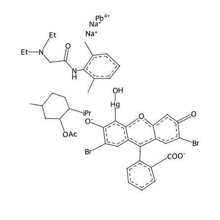 CC(=O)OC1CC(C)CCC1C(C)C.CCN(CC)CC(=O)Nc1c(C)cccc1C.O=C([O-])c1ccccc1-c1c2cc(Br)c(=O)cc-2oc2[c]([Hg][OH])c([O-])c(Br)cc12.[Na+].[Na+].[Pb+4]